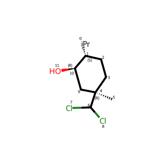 CC(C)[C@@H]1CC[C@@](C)(C(Cl)Cl)C[C@H]1O